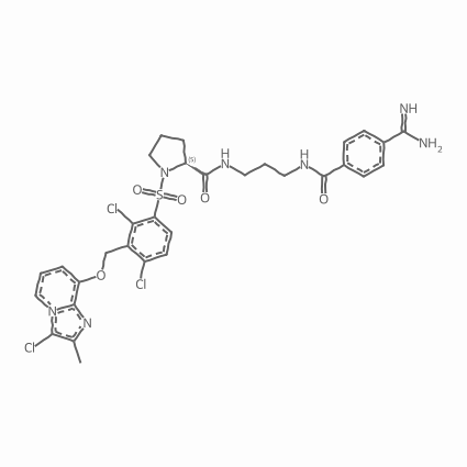 Cc1nc2c(OCc3c(Cl)ccc(S(=O)(=O)N4CCC[C@H]4C(=O)NCCCNC(=O)c4ccc(C(=N)N)cc4)c3Cl)cccn2c1Cl